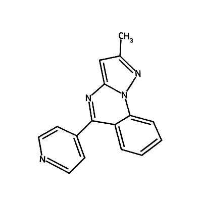 Cc1cc2nc(-c3ccncc3)c3ccccc3n2n1